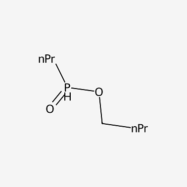 CCCCO[PH](=O)CCC